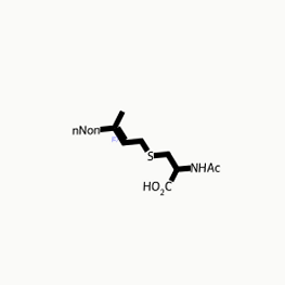 CCCCCCCCC/C(C)=C/CSCC(NC(C)=O)C(=O)O